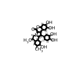 Cc1cc2c(cc1O)-c1c(-c3ccc(O)c(O)c3)c3c4cc(O)c(O)cc4oc(=O)c3n1CC2C